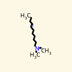 CCC/C=C/CCCCCCN(CC)CC